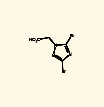 O=C(O)Cn1nc(Br)nc1Br